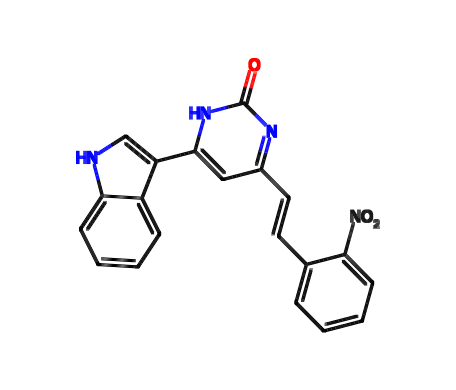 O=c1nc(C=Cc2ccccc2[N+](=O)[O-])cc(-c2c[nH]c3ccccc23)[nH]1